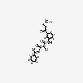 CCCCCCCCCCCCC(=O)c1cccc(NC(=O)C(Cl)C(=O)CC(=O)c2ccccc2)c1